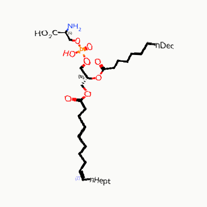 CCCCCCC/C=C\CCCCCCCC(=O)OC[C@H](COP(=O)(O)OC[C@H](N)C(=O)O)OC(=O)CCCCCCCCCCCCCCCC